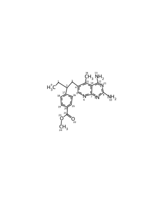 CCC(Cc1cnc2nc(N)nc(N)c2c1C)c1ccc(C(=O)OC)cc1